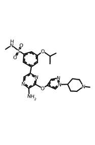 CNS(=O)(=O)c1cc(OC(C)C)cc(-c2cnc(N)c(Oc3cnn(C4CCN(C)CC4)c3)n2)c1